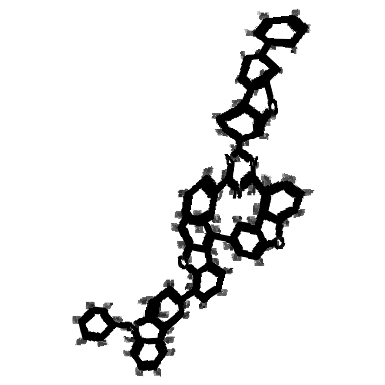 c1ccc(-c2ccc3c(c2)oc2cc(-c4nc(-c5ccccc5)nc(-c5cccc6oc7ccc(-c8cccc9oc%10c(-c%11ccc%12c(c%11)c%11ccccc%11n%12-c%11ccccc%11)cccc%10c89)cc7c56)n4)ccc23)cc1